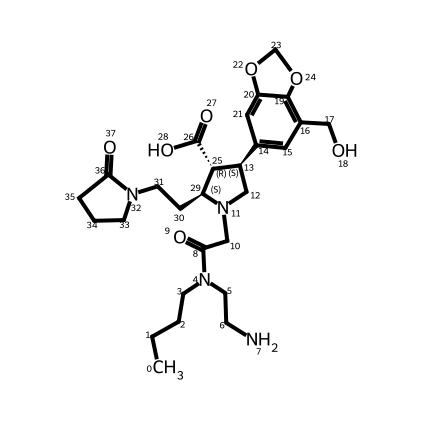 CCCCN(CCN)C(=O)CN1C[C@H](c2cc(CO)c3c(c2)OCO3)[C@@H](C(=O)O)[C@@H]1CCN1CCCC1=O